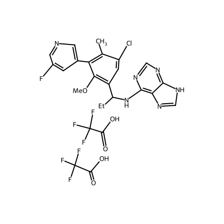 CCC(Nc1ncnc2[nH]cnc12)c1cc(Cl)c(C)c(-c2cncc(F)c2)c1OC.O=C(O)C(F)(F)F.O=C(O)C(F)(F)F